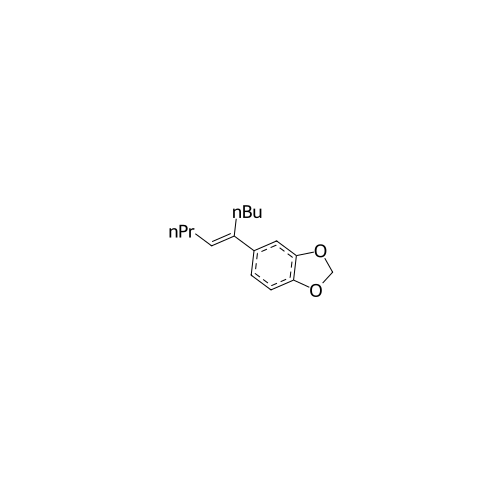 CCCC=C(CCCC)c1ccc2c(c1)OCO2